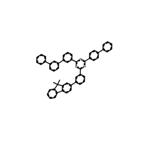 CC1(C)c2ccccc2-c2ccc(-c3cccc(-c4nc(-c5ccc(-c6ccccc6)cc5)nc(-c5cccc(-c6cccc(-c7ccccc7)c6)c5)n4)c3)cc21